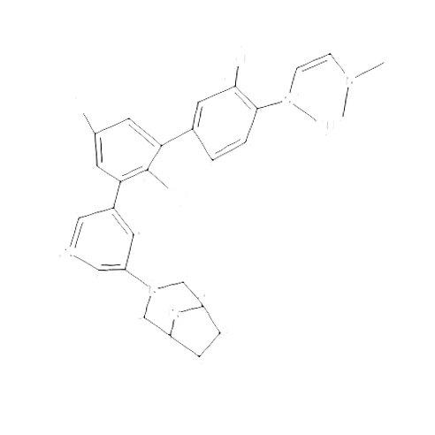 CN(C)/C=C\N(C=O)c1ccc(-c2cc(F)cc(-c3cncc(N4CC5CCC(C4)N5)c3)c2O)cc1Cl